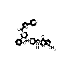 Cn1ccc2c(=O)n(CC3(O)CCN(C(=O)[C@H]4CCN(C(=O)c5ccc(-c6ccncc6)s5)C[C@@H]4c4ccccc4)CC3)cnc21